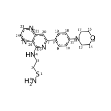 NSCCNc1nc(-c2ccc(N3CCOCC3)cc2)cc2nccnc12